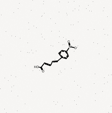 O=C(O)/C=C/C=C/c1ccc([N+](=O)[O-])cc1